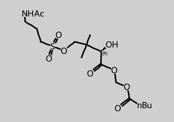 CCCCC(=O)OCOC(=O)[C@H](O)C(C)(C)COS(=O)(=O)CCCNC(C)=O